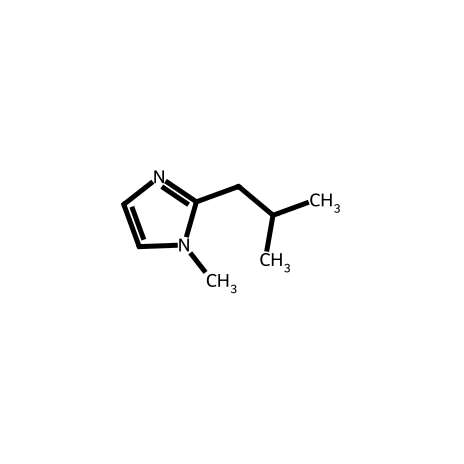 C[C](C)Cc1nccn1C